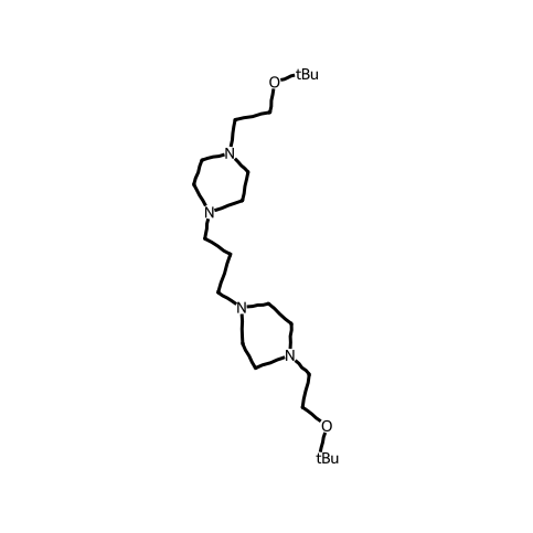 CC(C)(C)OCCN1CCN(CCCN2CCN(CCOC(C)(C)C)CC2)CC1